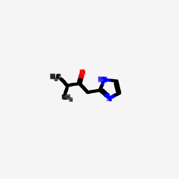 CC(C)C(=O)Cc1ncc[nH]1